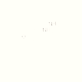 C1CO1.C=C.N.N